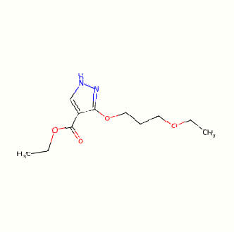 CCOCCCOc1n[nH]cc1C(=O)OCC